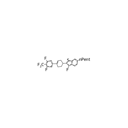 CCCCCc1ccc2c(F)c(C3CC=C(c4cc(F)c(C(F)(F)F)c(F)c4)CC3)sc2c1